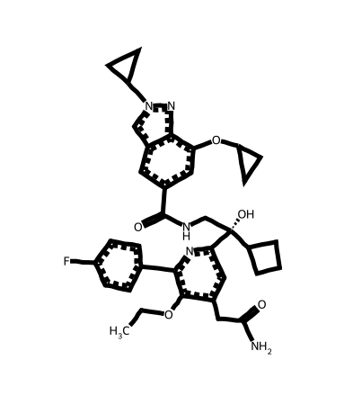 CCOc1c(CC(N)=O)cc([C@@](O)(CNC(=O)c2cc(OC3CC3)c3nn(C4CC4)cc3c2)C2CCC2)nc1-c1ccc(F)cc1